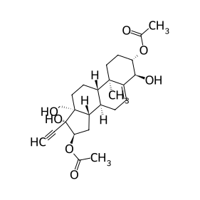 C#C[C@]1(O)[C@H](OC(C)=O)C[C@H]2[C@@H]3CC=C4[C@H](O)[C@@H](OC(C)=O)CC[C@]4(C)[C@H]3CC[C@@]21CO